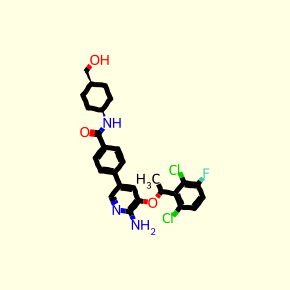 CC(Oc1cc(-c2ccc(C(=O)N[C@H]3CC[C@H](CO)CC3)cc2)cnc1N)c1c(Cl)ccc(F)c1Cl